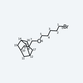 BrCCCCCOCC12CC3CC(CC(C3)C1)C2